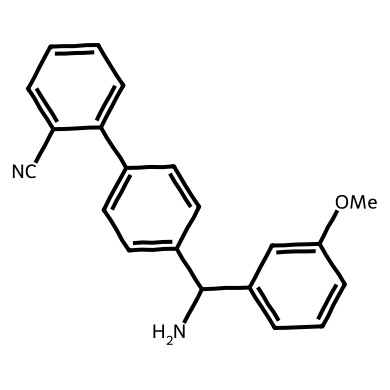 COc1cccc(C(N)c2ccc(-c3ccccc3C#N)cc2)c1